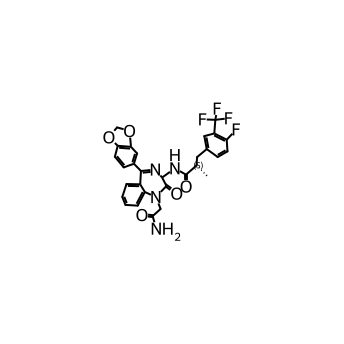 C[C@@H](Cc1ccc(F)c(C(F)(F)F)c1)C(=O)NC1N=C(c2ccc3c(c2)OCO3)c2ccccc2N(CC(N)=O)C1=O